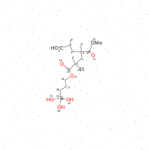 CCC(C)(CC(C)(CC(C)C(=O)O)C(=O)OC)C(=O)OCCC[Si](O)(O)O